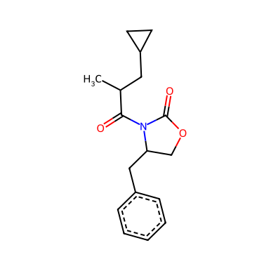 CC(CC1CC1)C(=O)N1C(=O)OCC1Cc1ccccc1